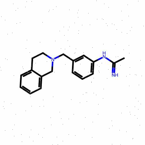 CC(=N)Nc1cccc(CN2CCc3ccccc3C2)c1